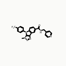 Cn1nnc2c3cc(C(=O)NCc4ccncc4)ccc3n(-c3ccc(C(F)(F)F)cc3)c21